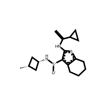 C=C(Nc1sc2c(c1[S+]([O-])N[C@H]1C[C@@H](C)C1)CCCC2)C1CC1